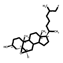 CC(CF)CCCC(C)[C@H]1CCC2C3C[C@H]4O[C@]45C[C@@H](O)CC[C@]5(C)C3CC[C@@]21C